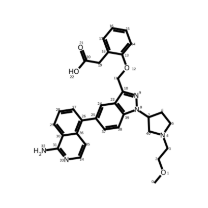 COCCN1CCC(n2nc(COc3ccccc3CC(=O)O)c3cc(-c4cccc5c(N)nccc45)ccc32)C1